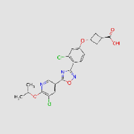 CC(C)Oc1ncc(-c2nc(-c3ccc(O[C@H]4C[C@H](C(=O)O)C4)cc3Cl)no2)cc1Cl